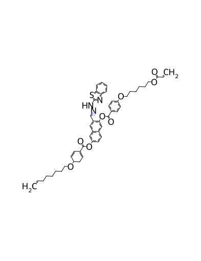 C=CCCCCCCOC1C=CC(C(=O)Oc2ccc3cc(OC(=O)c4ccc(OCCCCCCOC(=O)C=C)cc4)c(/C=N/Nc4nc5ccccc5s4)cc3c2)=CC1